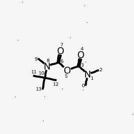 CN(C)C(=O)OC(=O)N(C)C(C)(C)C